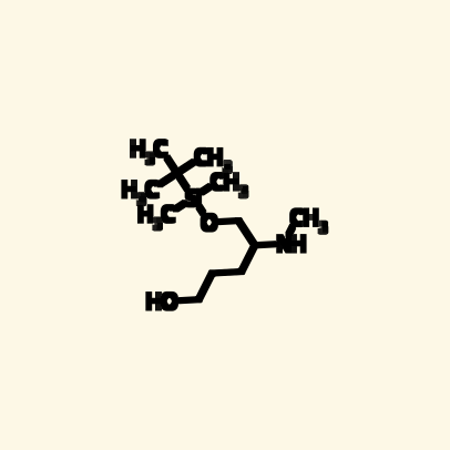 CNC(CCCO)CO[Si](C)(C)C(C)(C)C